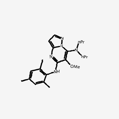 CCCN(CCC)c1c(OC)c(Nc2c(C)cc(C)cc2C)nc2ccnn12